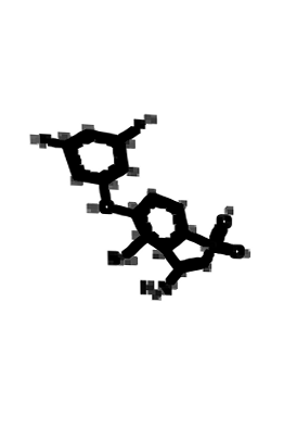 NC1=CS(=O)(=O)c2ccc(Oc3cc(F)cc(F)c3)c(Br)c21